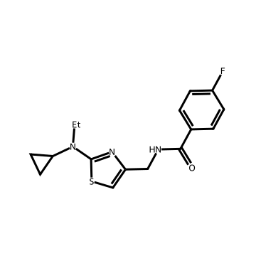 CCN(c1nc(CNC(=O)c2ccc(F)cc2)cs1)C1CC1